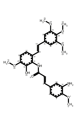 COc1ccc(C=CC(=O)Nc2c(C=Cc3cc(OC)c(OC)c(OC)c3)ccc(OC)c2O)cc1N